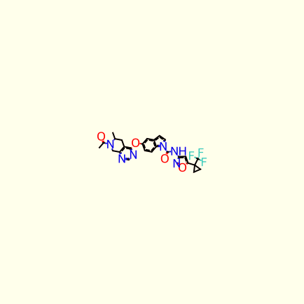 CC(=O)N1Cc2ncnc(Oc3ccc4c(ccn4C(=O)Nc4cc(C5(C(F)(F)F)CC5)on4)c3)c2CC1C